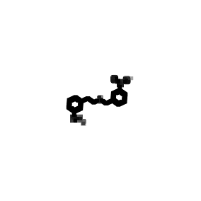 Nc1cccc(CCSCc2cccc([N+](=O)[O-])c2)c1